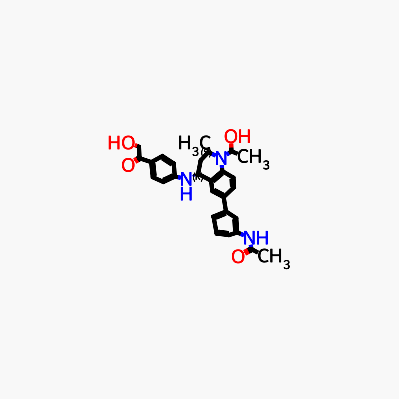 CC(=O)Nc1cccc(-c2ccc3c(c2)[C@H](Nc2ccc(C(=O)CO)cc2)C[C@H](C)N3C(C)O)c1